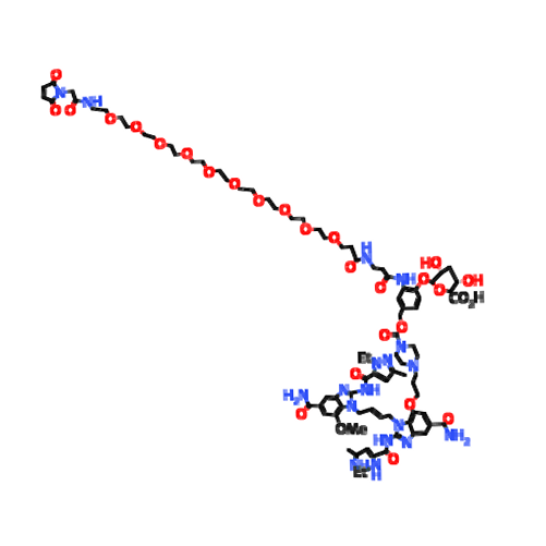 CCN/C(=C\C(C)=N)C(=O)Nc1nc2cc(C(N)=O)cc(OCCCN3CCN(C(=O)OCc4ccc(OC5O[C@H](C(=O)O)[C@@H](O)C[C@H]5O)c(NC(=O)CCNC(=O)CCOCCOCCOCCOCCOCCOCCOCCOCCOCCOCCNC(=O)CN5C(=O)C=CC5=O)c4)CC3)c2n1C/C=C/Cn1c(NC(=O)c2cc(C)nn2CC)nc2cc(C(N)=O)cc(OC)c21